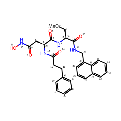 COC[C@H](NC(=O)[C@H](CC(=O)NO)NC(=O)CCc1ccccc1)C(=O)NCc1cccc2ccccc12